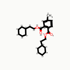 Cc1ccc(C(=O)OCCC2CCCCC2)c(C(=O)OCCC2CCCCC2)c1